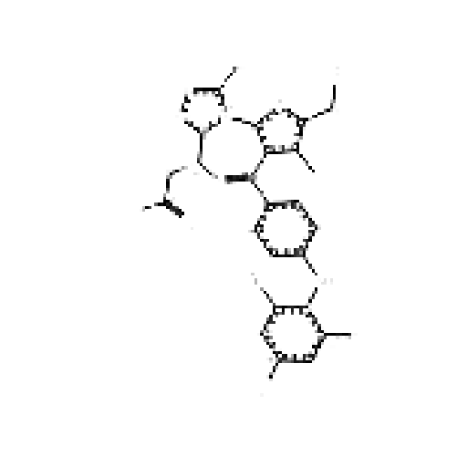 Cc1c(CO)sc2c1C(c1ccc(Nc3c(F)cc(F)cc3F)cc1)=N[C@@H](CC(=O)O)c1nnc(C)n1-2